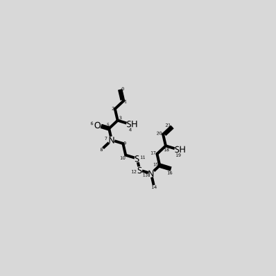 C=CCC(S)C(=O)N(C)CCSSN(C)C(=C)CC(S)C=C